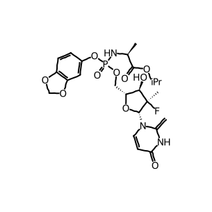 C=C1NC(=O)C=CN1[C@@H]1O[C@H](COP(=O)(N[C@@H](C)C(=O)OC(C)C)Oc2ccc3c(c2)OCO3)[C@@H](O)[C@@]1(C)F